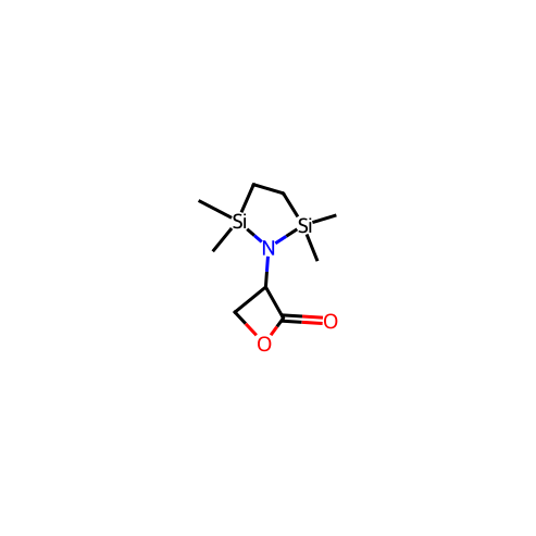 C[Si]1(C)CC[Si](C)(C)N1C1COC1=O